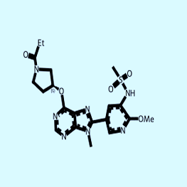 CCC(=O)N1CC[C@H](Oc2ncnc3c2nc(-c2cnc(OC)c(NS(C)(=O)=O)c2)n3C)C1